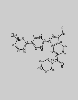 CSc1cn(-c2ncc(-c3cc(Cl)ccn3)cn2)c2cc(C(=O)N3CCOCC3)ccc12